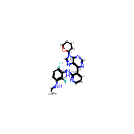 CC(C)CNc1ccc(F)c(Nc2ncccc2-c2ncnc3c2ncn3C2CCCCO2)c1F